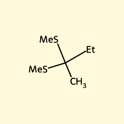 [CH2]CC(C)(SC)SC